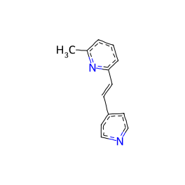 Cc1cccc(C=Cc2ccncc2)n1